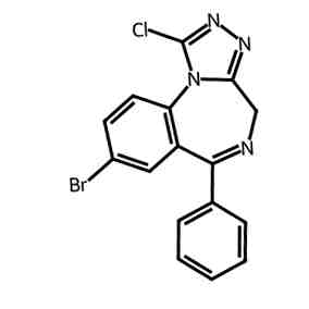 Clc1nnc2n1-c1ccc(Br)cc1C(c1ccccc1)=NC2